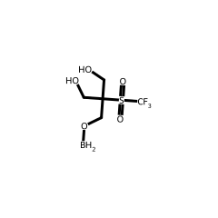 BOCC(CO)(CO)S(=O)(=O)C(F)(F)F